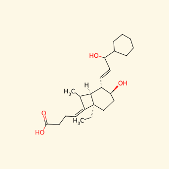 CC[C@@]12CC[C@H](O)[C@@H](/C=C/C(O)C3CCCCC3)[C@@H]1C(C)C2=CCCC(=O)O